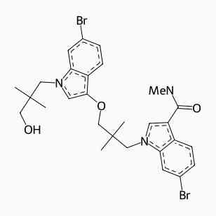 CNC(=O)c1cn(CC(C)(C)COc2cn(CC(C)(C)CO)c3cc(Br)ccc23)c2cc(Br)ccc12